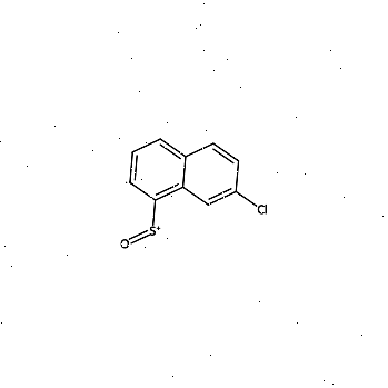 O=[S+]c1[c]ccc2ccc(Cl)cc12